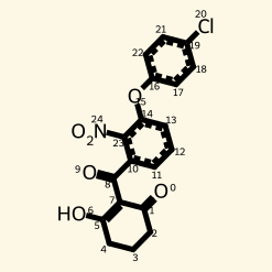 O=C1CCCC(O)=C1C(=O)c1cccc(Oc2ccc(Cl)cc2)c1[N+](=O)[O-]